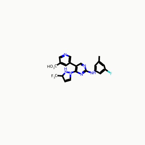 Cc1cc(F)cc(Nc2ncc(-c3cncc(C(=O)O)c3)c(N3C=CC(C(F)(F)F)N3)n2)c1